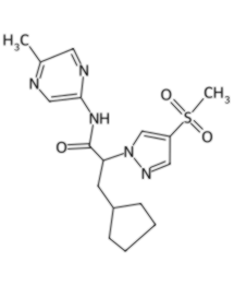 Cc1cnc(NC(=O)C(CC2CCCC2)n2cc(S(C)(=O)=O)cn2)cn1